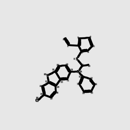 C=Cc1ccccc1SC(C)N(c1ccccc1)c1ccc2sc3cc(Cl)ccc3c2c1